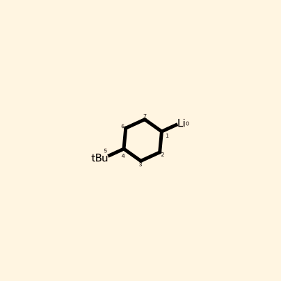 [Li][CH]1CCC(C(C)(C)C)CC1